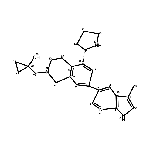 Cc1c[nH]c2ncc(-c3cc4c(c([C@@H]5CCCN5)c3)CCN(CC3(O)CC3)C4)cc12